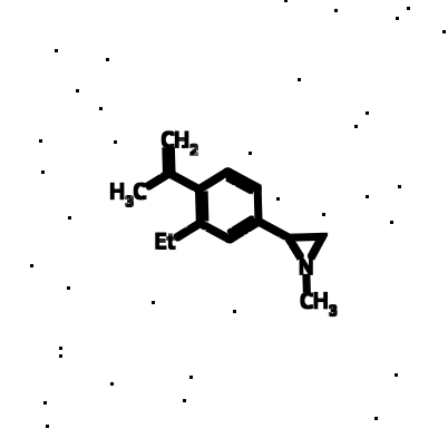 C=C(C)c1ccc(C2CN2C)cc1CC